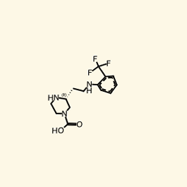 O=C(O)N1CCN[C@H](CCNc2ccccc2C(F)(F)F)C1